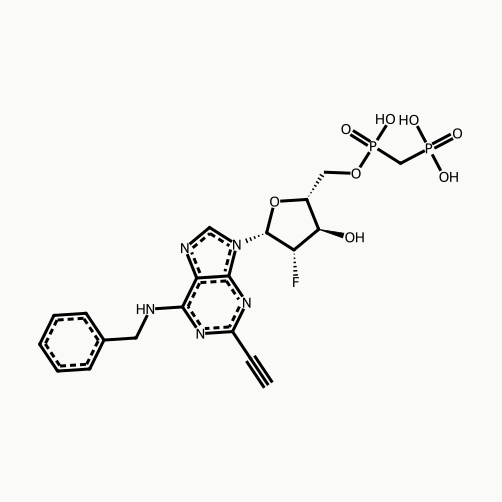 C#Cc1nc(NCc2ccccc2)c2ncn([C@@H]3O[C@H](COP(=O)(O)CP(=O)(O)O)[C@@H](O)[C@@H]3F)c2n1